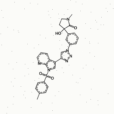 Cc1ccc(S(=O)(=O)n2cc(-c3cn(-c4cccc(C5(O)CCN(C)C5=O)c4)nn3)c3cccnc32)cc1